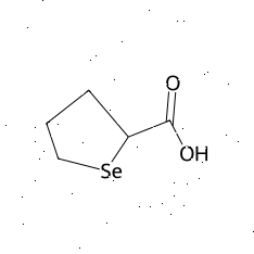 O=C(O)C1CCC[Se]1